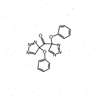 O=C(C1(Oc2ccccc2)C=NN=N1)C1(Oc2ccccc2)C=NN=N1